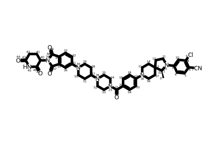 C[C@@H]1N(c2ccc(C#N)c(Cl)c2)CCC12CCN(c1ccc(C(=O)N3CCN(C4CCN(c5ccc6c(c5)C(=O)N(C5CCC(=O)NC5=O)C6=O)CC4)CC3)cc1)CC2